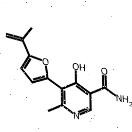 C=C(C)c1ccc(-c2c(C)ncc(C(N)=O)c2O)o1